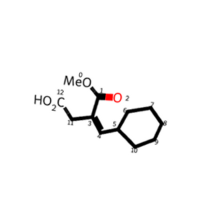 COC(=O)C(=CC1CCCCC1)CC(=O)O